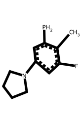 Cc1c(F)cc(N2CCCC2)cc1P